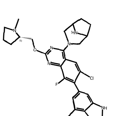 Cc1cc(-c2c(Cl)cc3c(N4CC5CCC(C4)N5)nc(OC[C@@H]4CCCN4C)nc3c2F)cc2[nH]ncc12